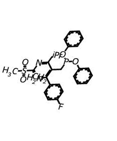 C=C(/N=C(\C(CP(Oc1ccccc1)Oc1ccccc1)=C(/N)c1ccc(F)cc1)C(C)C)S(C)(=O)=O